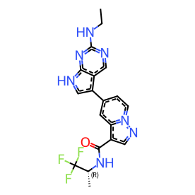 CCNc1ncc2c(-c3ccn4ncc(C(=O)N[C@H](C)C(F)(F)F)c4c3)c[nH]c2n1